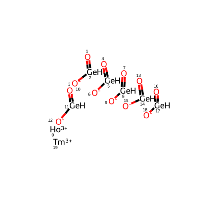 [Ho+3].[O]=[GeH][O-].[O]=[GeH][O-].[O]=[GeH][O-].[O]=[GeH][O-].[O]=[GeH][O-].[O]=[GeH][O-].[Tm+3]